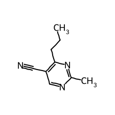 CCCc1nc(C)ncc1C#N